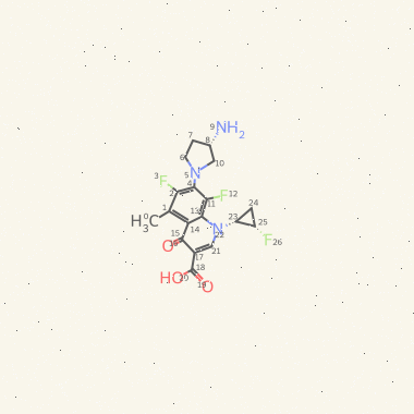 Cc1c(F)c(N2CC[C@H](N)C2)c(F)c2c1c(=O)c(C(=O)O)cn2[C@@H]1C[C@@H]1F